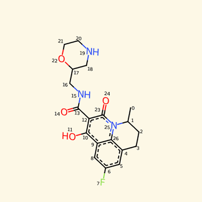 CC1CCc2cc(F)cc3c(O)c(C(=O)NCC4CNCCO4)c(=O)n1c23